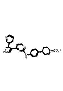 O=C(O)N1CCC(c2ccc(Nc3nccc(-c4c[nH]nc4-c4cccnc4)n3)cc2)CC1